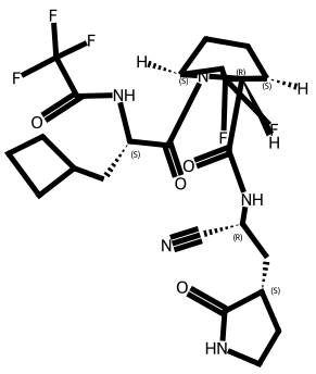 N#C[C@@H](C[C@@H]1CCNC1=O)NC(=O)[C@H]1[C@@H]2CC[C@@H](CC2(F)F)N1C(=O)[C@H](CC1CCC1)NC(=O)C(F)(F)F